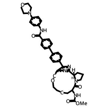 COC(=O)NC1CCCCOCc2[nH]c(nc2-c2ccc(-c3ccc(C(=O)Nc4ccc(N5CCOCC5)cc4)cc3)cc2)[C@@H]2CCCN2C1=O